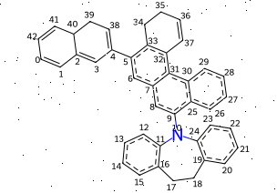 C1=CC2=CC(c3cc4cc(N5c6ccccc6CCc6ccccc65)c5ccccc5c4c4c3CCC=C4)=CCC2C=C1